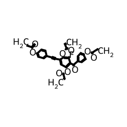 C=CC(=O)Oc1ccc(C#Cc2cc(OC(=O)C=C)c(C(=O)c3ccc(OC(=O)C=C)cc3)c(F)c2OC(=O)C=C)cc1